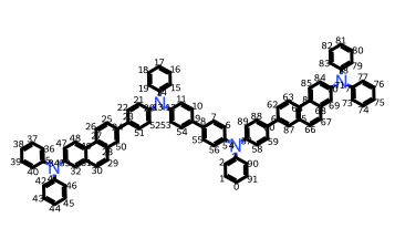 c1ccc(N(c2ccc(-c3ccc(N(c4ccccc4)c4ccc(-c5ccc6c(ccc7cc(N(c8ccccc8)c8ccccc8)ccc76)c5)cc4)cc3)cc2)c2ccc(-c3ccc4c(ccc5cc(N(c6ccccc6)c6ccccc6)ccc54)c3)cc2)cc1